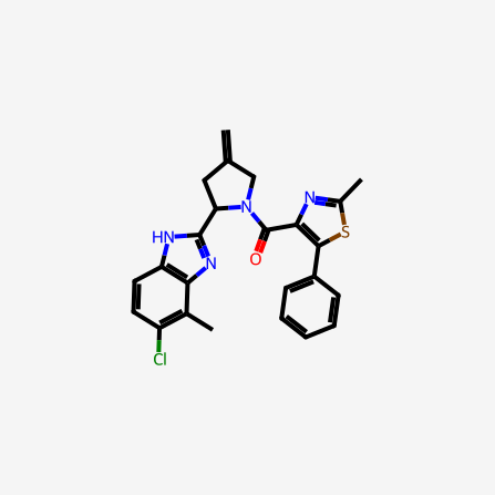 C=C1CC(c2nc3c(C)c(Cl)ccc3[nH]2)N(C(=O)c2nc(C)sc2-c2ccccc2)C1